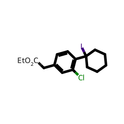 CCOC(=O)Cc1ccc(C2(I)CCCCC2)c(Cl)c1